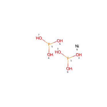 OP(O)O.OP(O)O.[Ni]